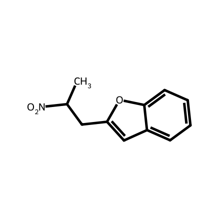 CC(Cc1cc2ccccc2o1)[N+](=O)[O-]